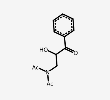 CC(=O)N(CC(O)C(=O)c1ccccc1)C(C)=O